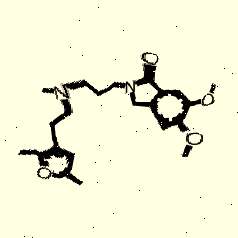 COc1cc2c(cc1OC)C(=O)N(CCCN(C)CCc1cc(C)oc1C)C2